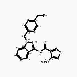 COc1cscc1C(=O)Nc1nn(Cc2ccc(CF)cc2)c2ccccc12